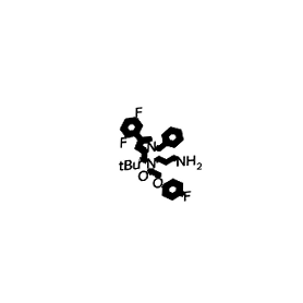 CC(C)(C)[C@H](c1cc(-c2cc(F)ccc2F)cn1Cc1ccccc1)N(CCCN)C(=O)COc1ccc(F)cc1